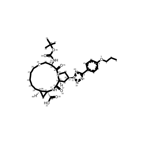 CCCOc1ccc(-c2nnn([C@H]3C[C@H]4C(=O)N[C@@]5(C(=O)O)C[C@H]5CCCCCCC[C@@H](NC(=O)OC(C)(C)C)C(=O)N4C3)n2)cc1